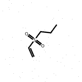 C=CS(=O)(=O)C[CH]C